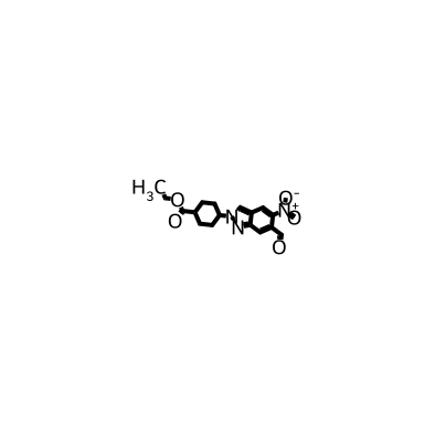 CCOC(=O)C1CCC(n2cc3cc([N+](=O)[O-])c(C=O)cc3n2)CC1